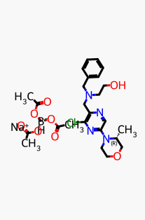 CC(=O)O[BH-](OC(C)=O)OC(C)=O.C[C@@H]1COCCN1c1cnc(CN(CCO)Cc2ccccc2)c(Cl)n1.[Na+]